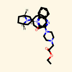 CCOC(=O)CN1CCN(c2nc3ccccc3n([C@H]3C[C@H]4CC[C@@H](C3)N4C3CCCCCCC3)c2=O)CC1